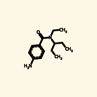 CCC(CC)N(CC)C(=O)c1ccc(N)cc1